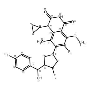 COc1c(F)c(N2CC(F)C(C(O)c3ccc(F)cc3)C2)c(C)c2c1c(=O)[nH]c(=O)n2C1CC1